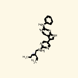 C=C/C=C(\C=C)CNc1ncc(-c2c[nH]c3nc(Nc4ccccc4)ncc23)cn1